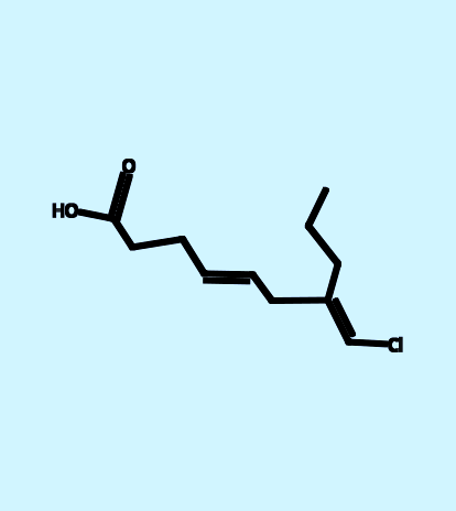 CCC/C(=C\Cl)C/C=C/CCC(=O)O